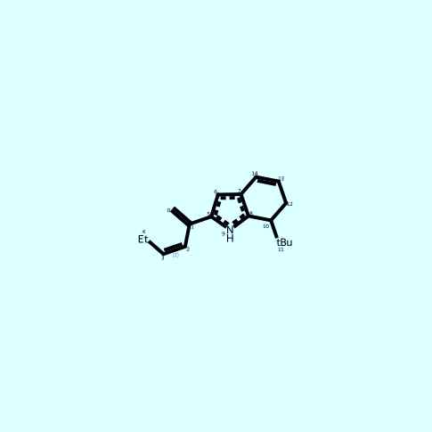 C=C(/C=C\CC)c1cc2c([nH]1)C(C(C)(C)C)CC=C2